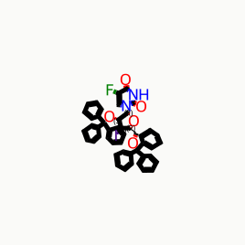 O=c1[nH]c(=O)n([C@@H]2O[C@H](COC(c3ccccc3)(c3ccccc3)c3ccccc3)[C@@H](I)[C@H]2OC(c2ccccc2)(c2ccccc2)c2ccccc2)cc1F